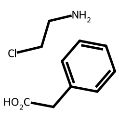 NCCCl.O=C(O)Cc1ccccc1